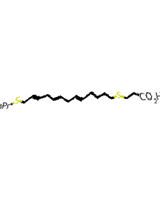 CCCSC/C=C/C/C=C/C/C=C/CCCCSCCC(=O)O